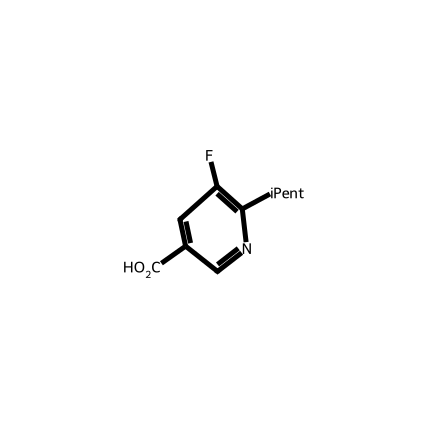 CCCC(C)c1ncc(C(=O)O)cc1F